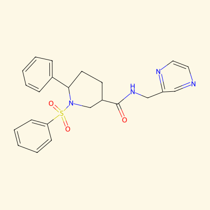 O=C(NCc1cnccn1)C1CCC(c2ccccc2)N(S(=O)(=O)c2ccccc2)C1